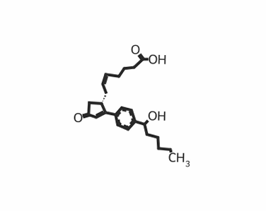 CCCCCC(O)c1ccc(C2=CC(=O)C[C@@H]2C/C=C\CCCC(=O)O)cc1